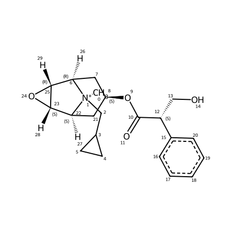 C[N+]1(CC2CC2)[C@@H]2C[C@@H](OC(=O)[C@H](CO)c3ccccc3)C[C@H]1[C@@H]1O[C@@H]12